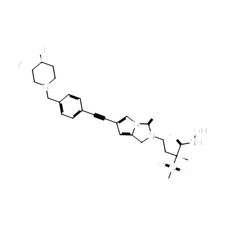 C[C@@](CCN1Cc2cc(C#Cc3ccc(CN4CC[C@H](O)[C@@H](F)C4)cc3)cn2C1=O)(C(=O)NO)S(C)(=O)=O